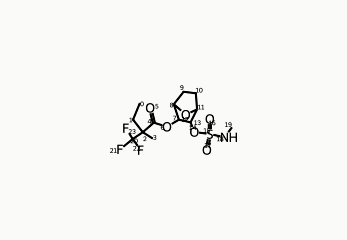 CCC(C)(C(=O)OC1C2CCC(O2)C1OS(=O)(=O)NC)C(F)(F)F